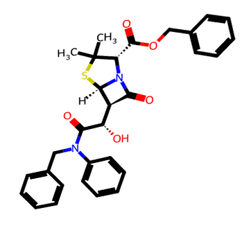 CC1(C)S[C@@H]2[C@H]([C@H](O)C(=O)N(Cc3ccccc3)c3ccccc3)C(=O)N2[C@H]1C(=O)OCc1ccccc1